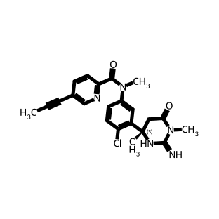 CC#Cc1ccc(C(=O)N(C)c2ccc(Cl)c([C@]3(C)CC(=O)N(C)C(=N)N3)c2)nc1